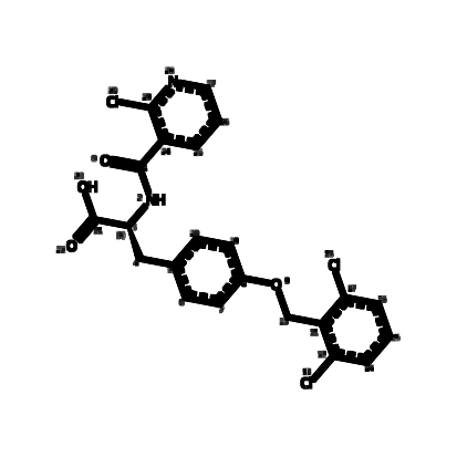 O=C(N[C@@H](Cc1ccc(OCc2c(Cl)cccc2Cl)cc1)C(=O)O)c1cccnc1Cl